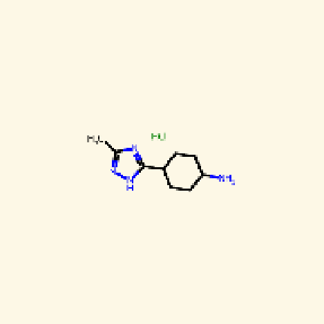 Cc1n[nH]c(C2CCC(N)CC2)n1.Cl